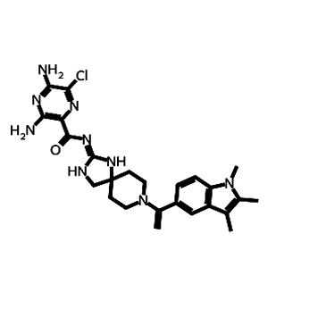 C=C(c1ccc2c(c1)c(C)c(C)n2C)N1CCC2(CC1)CN/C(=N\C(=O)c1nc(Cl)c(N)nc1N)N2